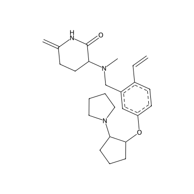 C=Cc1ccc(OC2CCCC2N2CCCC2)cc1CN(C)C1CCC(=C)NC1=O